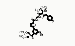 CCOc1cc(C(=O)N(CC(=O)O)CC(=O)O)cc(-c2ccc(C(=O)NCNC(=O)[C@H](C(F)Cc3ccc(F)cc3)[C@@H](CC)N(O)C=O)o2)c1